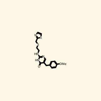 COc1ccc(Cc2cnc(NCCSCc3nccs3)[nH]c2=O)cc1